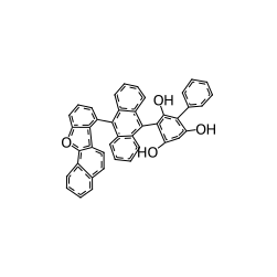 Oc1cc(O)c(-c2c3ccccc3c(-c3cccc4oc5c6ccccc6ccc5c34)c3ccccc23)c(O)c1-c1ccccc1